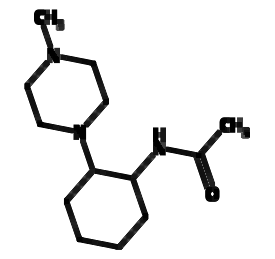 CC(=O)NC1CCCCC1N1CCN(C)CC1